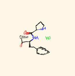 COC(=O)[C@H](Cc1ccccc1)NC(=O)C1CCCN1.Cl